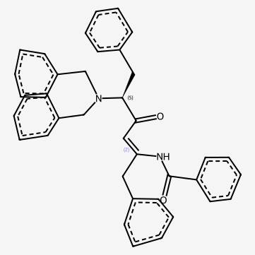 O=C(N/C(=C\C(=O)[C@H](Cc1ccccc1)N(Cc1ccccc1)Cc1ccccc1)Cc1ccccc1)c1ccccc1